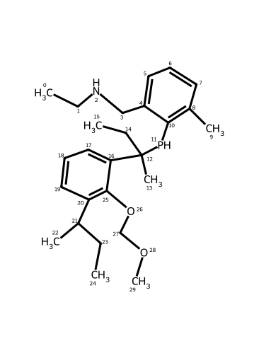 CCNCc1cccc(C)c1PC(C)(CC)c1cccc(C(C)CC)c1OCOC